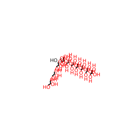 O=S(=O)(O)O.OCC(O)CO.OCC(O)CO.OCC(O)CO.OCC(O)CO.OCC(O)CO.OCC(O)CO.OCC(O)CO.OCC(O)CO.OCC(O)CO.OCC(O)CO